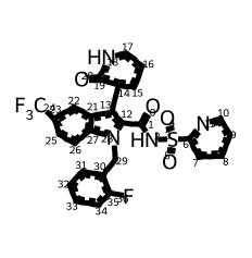 O=C(NS(=O)(=O)c1ccccn1)c1c(-c2ccc[nH]c2=O)c2cc(C(F)(F)F)ccc2n1Cc1ccccc1F